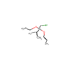 CCCO[Si](CBr)(OCCC)C(C)C